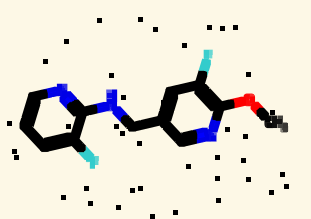 COc1ncc(CNc2ncccc2F)cc1F